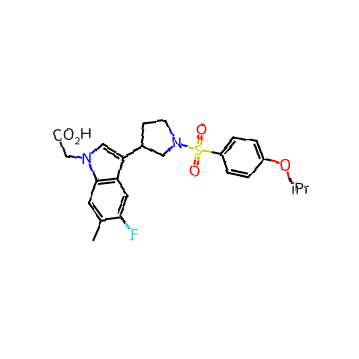 Cc1cc2c(cc1F)c(C1CCN(S(=O)(=O)c3ccc(OC(C)C)cc3)C1)cn2CC(=O)O